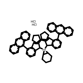 C1=C(C2CCCC2)[CH]([Hf]2([CH]3C(C4CCCC4)=Cc4c(-c5c6ccccc6cc6ccccc56)cccc43)[CH]3CCCC[CH]32)c2cccc(-c3c4ccccc4cc4ccccc34)c21.Cl.Cl